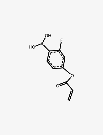 C=CC(=O)Oc1ccc(B(O)O)c(F)c1